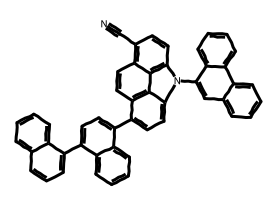 N#Cc1ccc2c3c1ccc1c(-c4ccc(-c5cccc6ccccc56)c5ccccc45)ccc(c13)n2-c1cc2ccccc2c2ccccc12